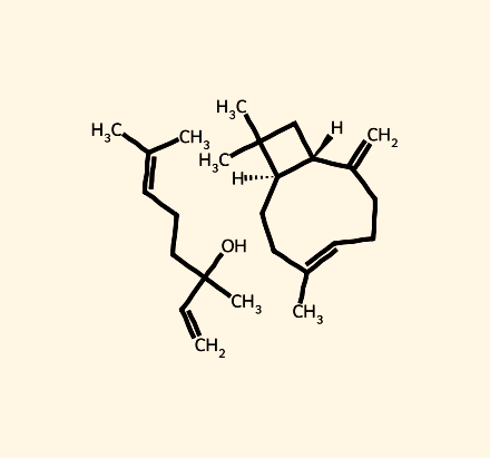 C=C1CC/C=C(\C)CC[C@@H]2[C@@H]1CC2(C)C.C=CC(C)(O)CCC=C(C)C